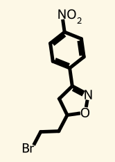 O=[N+]([O-])c1ccc(C2=NOC(CCBr)C2)cc1